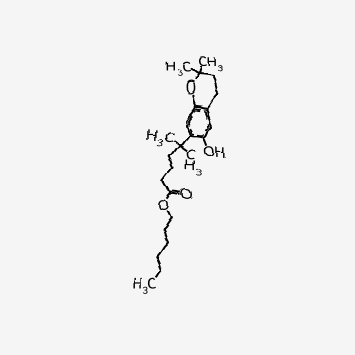 CCCCCCOC(=O)CCCC(C)(C)c1cc2c(cc1O)CCC(C)(C)O2